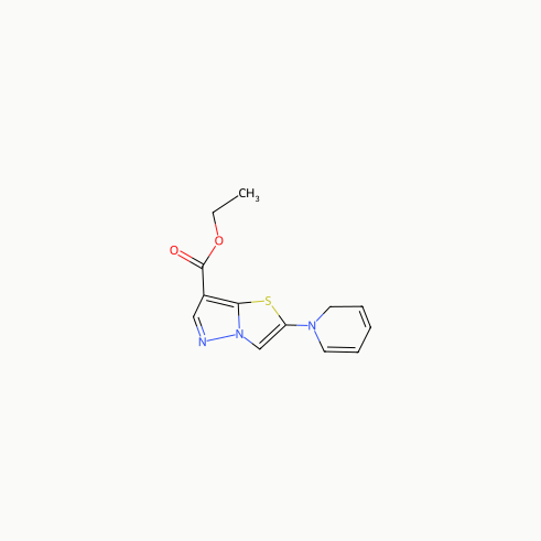 CCOC(=O)c1cnn2cc(N3C=CC=CC3)sc12